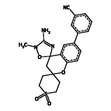 CN1OC2(CC3(CCS(=O)(=O)CC3)Oc3ccc(-c4cccc(C#N)c4)cc32)N=C1N